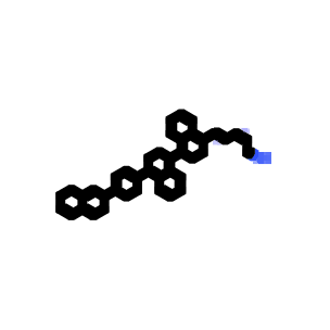 N=C/C=C\C=C\C1=c2ccccc2=C(C2=c3ccccc3=C(C3=CC=C(C4C=C5CCC=CC5=CC4)CC3)CC2)CC1